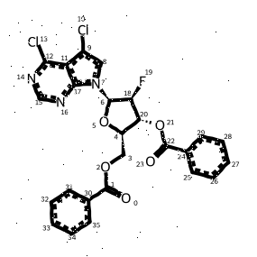 O=C(OC[C@H]1O[C@@H](n2cc(Cl)c3c(Cl)ncnc32)[C@@H](F)[C@@H]1OC(=O)c1ccccc1)c1ccccc1